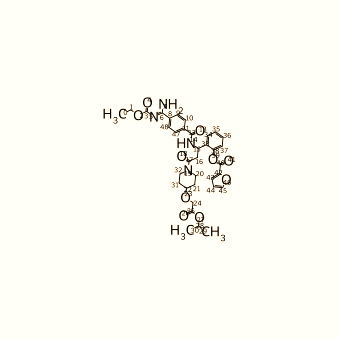 CCOC(=O)N=C(N)c1ccc(C(=O)NC(CC(=O)N2CCC(OCC(=O)OC(C)C)CC2)c2ccccc2OC(=O)c2ccco2)cc1